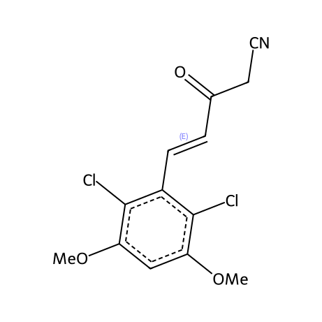 COc1cc(OC)c(Cl)c(/C=C/C(=O)CC#N)c1Cl